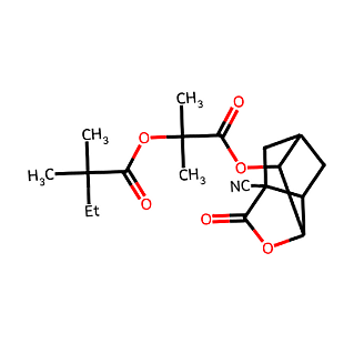 CCC(C)(C)C(=O)OC(C)(C)C(=O)OC1C2CC3C1OC(=O)C3(C#N)C2